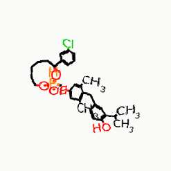 Cc1cc(OC[PH]2(O)OCCCCCC(c3cccc(Cl)c3)O2)cc(C)c1Cc1ccc(O)c(C(C)C)c1